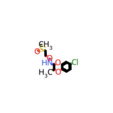 CC(Oc1ccc(Cl)cc1)C(=O)NOCC[S+](C)[O-]